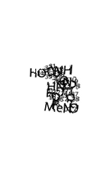 CNC(=O)c1ccc(-c2cccnc2C(Cc2cc(F)cc(F)c2)NC(=O)Cc2c[nH]c3ccc(O)cc23)cc1